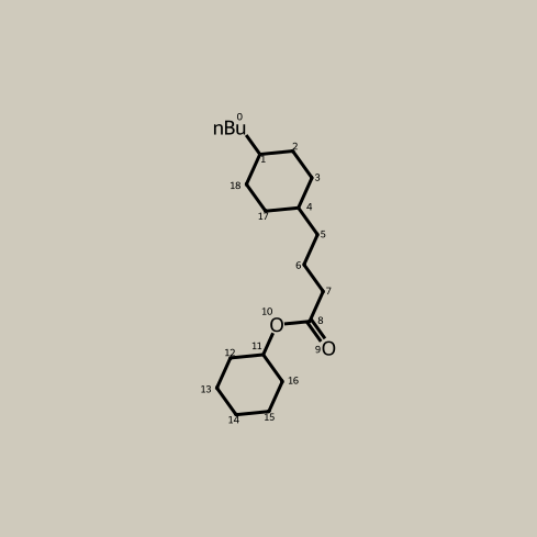 CCCCC1CCC(CCCC(=O)OC2CCCCC2)CC1